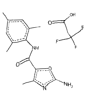 Cc1cc(C)c(NC(=O)c2oc(N)nc2C)c(C)c1.O=C(O)C(F)(F)F